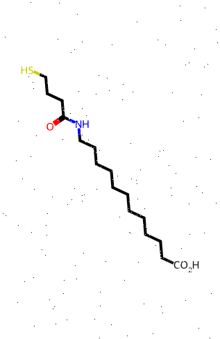 O=C(O)CCCCCCCCCCCNC(=O)CCCS